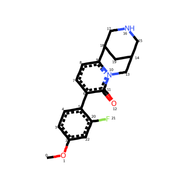 COc1ccc(-c2ccc3n(c2=O)CC2CNCC3C2)c(F)c1